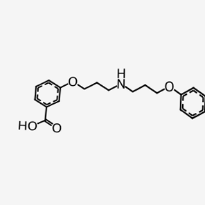 O=C(O)c1cccc(OCCCNCCCOc2ccccc2)c1